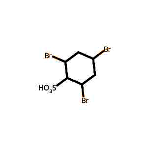 O=S(=O)(O)C1C(Br)CC(Br)CC1Br